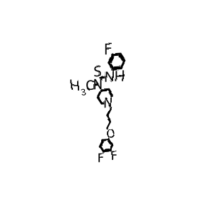 CN(C(=S)Nc1cccc(F)c1)C1CCN(CCCCOc2ccc(F)c(F)c2)CC1